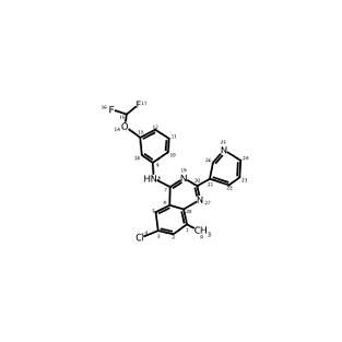 Cc1cc(Cl)cc2c(Nc3cccc(OC(F)F)c3)nc(-c3cccnc3)nc12